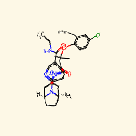 CC(C)c1cc(Cl)ccc1OC(C)(C)C(=O)N[C@H]1C[C@H]2CC[C@@H](C1)N2c1ccc(C(=O)NCC(F)(F)F)cn1